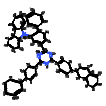 c1ccc(-c2ccc(-c3nc(-c4ccc(-c5ccc6ccccc6c5)cc4)nc(-c4ccc(-c5ccccc5)c(-n5c6ccccc6c6ccccc65)c4)n3)cc2)cc1